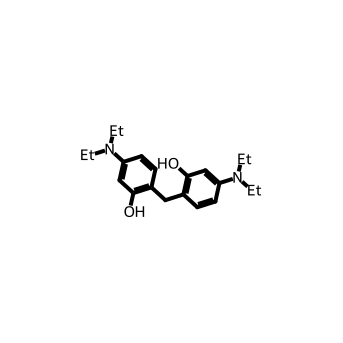 CCN(CC)c1ccc(Cc2ccc(N(CC)CC)cc2O)c(O)c1